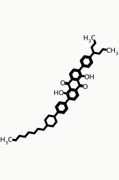 CCCCCCCCC1CCC(c2ccc(-c3ccc4c(c3O)C(=O)c3ccc(-c5ccc(C(CCC)CCC)cc5)c(O)c3C4=O)cc2)CC1